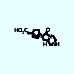 O=C(O)CC12CCC(N3C[C@@H]4CNCCN4C3=O)(CC1)C2